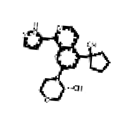 C[C@@H]1COCCN1c1cc(C2(C#N)CCCC2)c2ccnc(-c3ccn[nH]3)c2n1